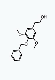 COc1cc(CCO)cc(OC)c1OCc1ccccc1